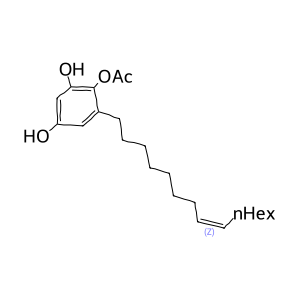 CCCCCC/C=C\CCCCCCCc1cc(O)cc(O)c1OC(C)=O